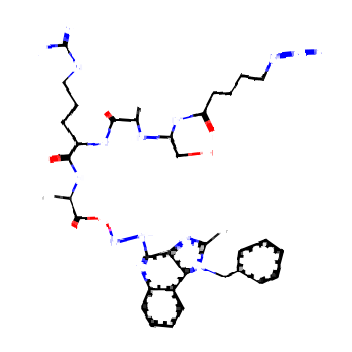 CCCCc1nc2c(NNOC(=O)C(NC(=O)C(CCCNC(=N)N)NC(=O)C(NC(CO)NC(=O)CCCCN=[N+]=[N-])C(C)C)C(C)C)nc3ccccc3c2n1Cc1ccccc1